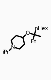 CCCCCCC(C)(CC)OC1CCN(C(C)C)CC1